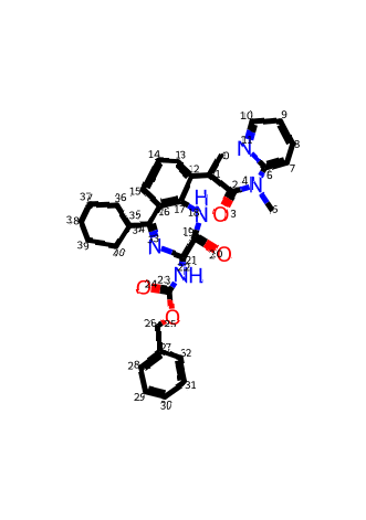 CC(C(=O)N(C)c1ccccn1)c1cccc2c1NC(=O)C(NC(=O)OCc1ccccc1)N=C2C1CCCCC1